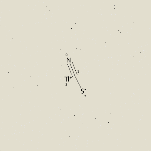 N#C[S-].[Tl+]